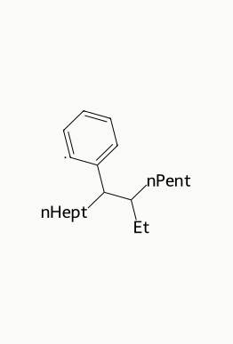 CCCCCCCC(c1[c]cccc1)C(CC)CCCCC